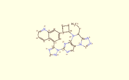 CCC1c2nncn2-c2cnc(-n3ncnc3-c3cccc4ncccc34)nc2N1C1CCC1